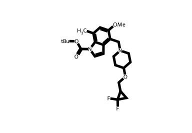 COc1cc(C)c2c(ccn2C(=O)OC(C)(C)C)c1CN1CCC(OCC2CC2(F)F)CC1